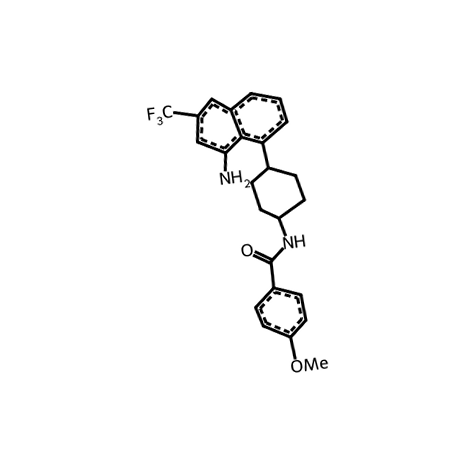 COc1ccc(C(=O)NC2CCC(c3cccc4cc(C(F)(F)F)cc(N)c34)CC2)cc1